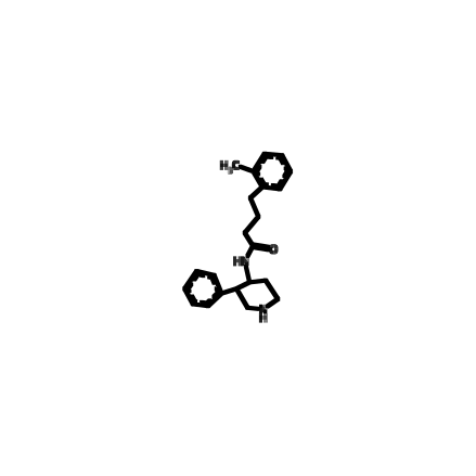 Cc1ccccc1CCCC(=O)NC1CCNCC1c1ccccc1